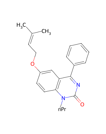 CCCn1c(=O)nc(-c2ccccc2)c2cc(OCC=C(C)C)ccc21